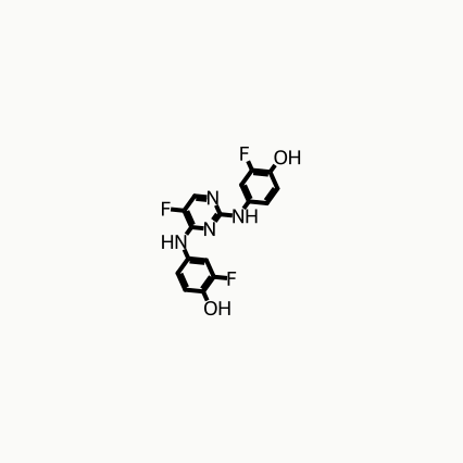 Oc1ccc(Nc2ncc(F)c(Nc3ccc(O)c(F)c3)n2)cc1F